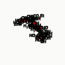 CCOC(=O)N[C@H]1C(CO)O[C@@H](OC(=O)[C@]23CCC(C)(C)CC2C2=CCC4C5(C)CC[C@H](O[C@@H]6OC(C(=O)O)[C@@H](O)[C@H](O[C@@H]7OC[C@@H](O)[C@H](O)C7O)C6O[C@@H]6OC(CO)[C@H](O)[C@H](O)C6O)[C@](C)(C=O)[C@@H]5CCC4(C)[C@]2(C)CC3O)C(O[C@@H]2OC(C)[C@H](O[C@@H]3OC[C@@H](O)C(O[C@@H]4OC[C@@](O)(CC)C4O)C3O)C(O)C2O)C1O